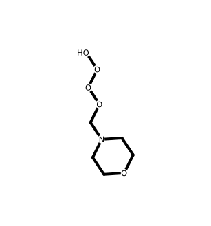 OOOOCN1CCOCC1